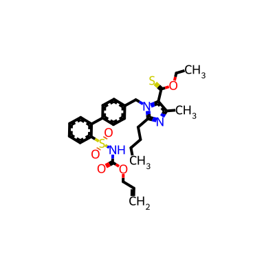 C=CCOC(=O)NS(=O)(=O)c1ccccc1-c1ccc(Cn2c(CCCC)nc(C)c2C(=S)OCC)cc1